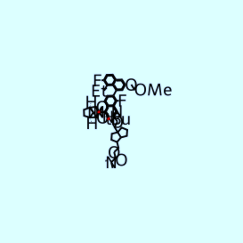 CCc1c(F)ccc2cc(OCOC)cc(-c3ccc4c(N5C[C@H]6CC[C@@H](C5)N6C(=O)OC(C)(C)C)nc(OCC56CCCC5C(COC(=O)N(C)C)CC6)nc4c3F)c12